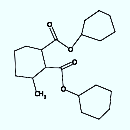 CC1CCCC(C(=O)OC2CCCCC2)C1C(=O)OC1CCCCC1